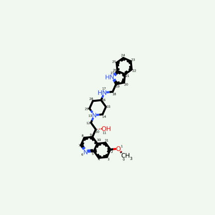 COc1ccc2nccc([C@@H](O)CN3CCC(NCc4cc5ccccc5[nH]4)CC3)c2c1